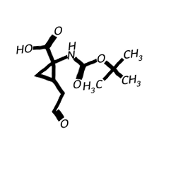 CC(C)(C)OC(=O)NC1(C(=O)O)CC1CC=O